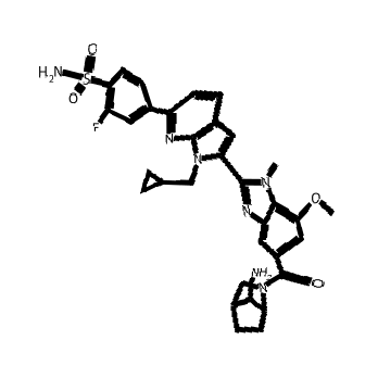 COc1cc(C(=O)N2CC3CCC2C3N)cc2nc(-c3cc4ccc(-c5ccc(S(N)(=O)=O)c(F)c5)nc4n3CC3CC3)n(C)c12